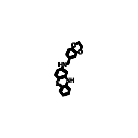 c1ccc2c(c1)Nc1cc(NCc3ccc4c(c3)OCCO4)ccc1S2